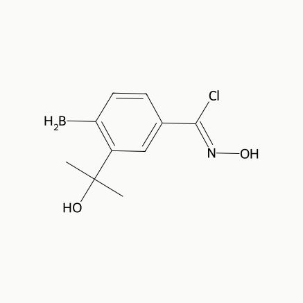 Bc1ccc(C(Cl)=NO)cc1C(C)(C)O